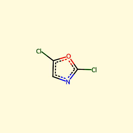 Clc1cnc(Cl)o1